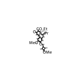 CCOC(=O)c1cn2c(cc1=O)-c1cc(OC)c(OCC3CC(OC)C3)cc1CC2C(C)C